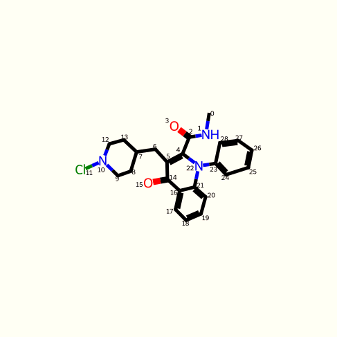 CNC(=O)c1c(CC2CCN(Cl)CC2)c(=O)c2ccccc2n1-c1ccccc1